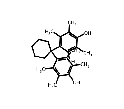 Cc1c(C)c(C2(c3c(C)c(C)c(O)c(C)c3C)CCCCC2)c(C)c(C)c1O